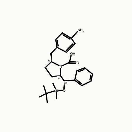 CC(C)(C)[Si](C)(C)O[C@H](c1ccccc1)[C@H]1CC[C@@H](Cc2ccc(N)cc2)N1C(=O)O